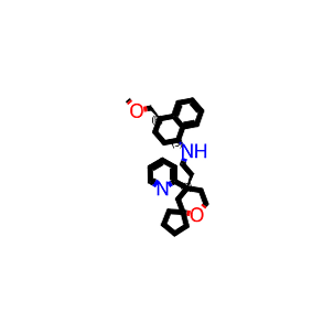 COC[C@@H]1CC[C@H](NCC[C@@]2(c3ccccn3)CCOC3(CCCC3)C2)c2ccccc21